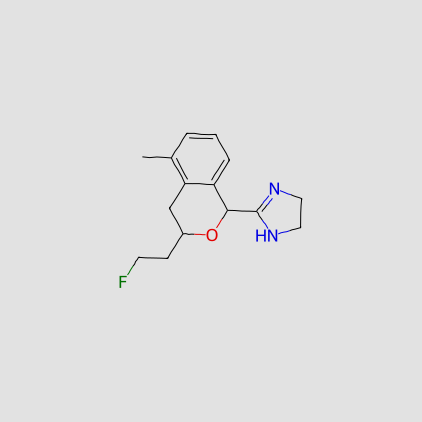 Cc1cccc2c1CC(CCF)OC2C1=NCCN1